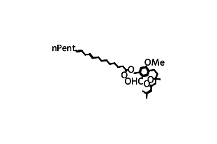 CCCCC/C=C/C/C=C/CCCCCCCC(=O)OCc1cc(OC)c2c(c1C=O)OC(C)(CC(=O)C=C(C)C)CC2